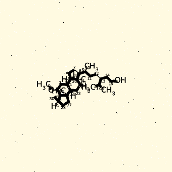 CO[C@@H]1C[C@H]2[C@@H]3CC[C@H]([C@H](C)CC[C@H](CCO)C(C)C)[C@@]3(C)CC[C@@H]2[C@@]2(C)CC[C@H]3C[C@]312